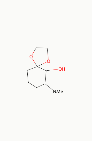 CNC1CCCC2(OCCO2)C1O